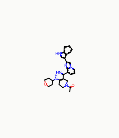 CC(=O)N1CCC(NC2CCOCC2)=C(C(=N)c2cccn3cc(-c4c[nH]c5ccccc45)nc23)C1